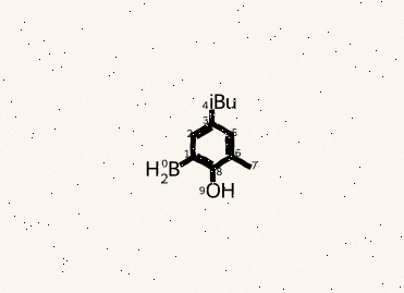 Bc1cc(C(C)CC)cc(C)c1O